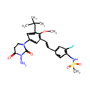 COc1c(/C=C/c2ccc(NS(C)(=O)=O)c(F)c2)cc(N2CCC(=O)N(N)C2=O)cc1C(C)(C)C